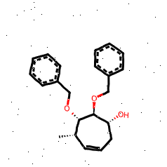 C[C@H]1C=CC[C@@H](O)[C@H](OCc2ccccc2)[C@H]1OCc1ccccc1